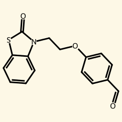 O=Cc1ccc(OCCn2c(=O)sc3ccccc32)cc1